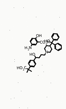 CC(C)(C(=O)O)c1ccc(C(O)CCCN2CCC(C(O)(c3ccccc3)c3ccccc3)CC2)cc1.Nc1ccc(O)c(C(=O)O)c1